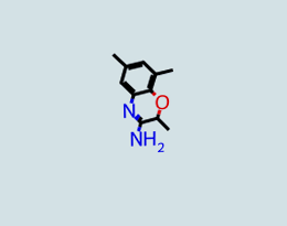 Cc1cc(C)c2c(c1)N=C(N)C(C)O2